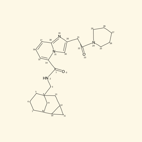 O=C(NCC12CCCC(C1)C1CC1C2)c1cccc2nc(CC(=O)N3CCCCC3)cn12